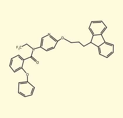 O=C(c1ccccc1Oc1ccccc1)N(CC(F)(F)F)c1ccc(OCCCC2c3ccccc3-c3ccccc32)nc1